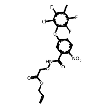 C=CCOC(=O)CONC(=O)c1cc(Oc2c(F)c(F)c(C)c(F)c2Cl)ccc1[N+](=O)[O-]